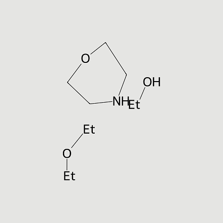 C1COCCN1.CCO.CCOCC